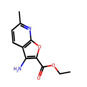 CCOC(=O)c1oc2nc(C)ccc2c1N